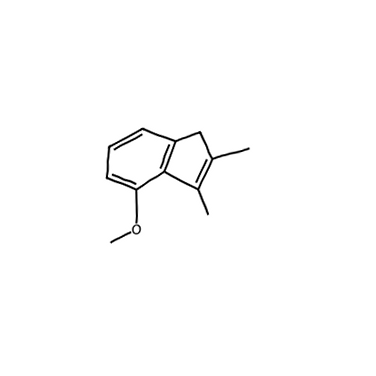 COc1cccc2c1C(C)=C(C)C2